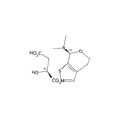 CN(C)[C@H]1OCCc2ccsc21.O=C(O)C[C@H](O)C(=O)O